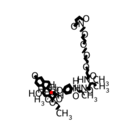 CCC[C@@H]1O[C@@H]2C[C@H]3[C@@H]4CCC5=CC(=O)C=C[C@]5(C)[C@H]4[C@@H](O)C[C@]3(C)[C@]2(C(=O)COc2ccc(NC(=O)[C@H](C)NC(=O)[C@@H](NC(=O)CCOCCOCCOCCOCCN3C(=O)C=CC3=O)C(C)C)cc2)O1